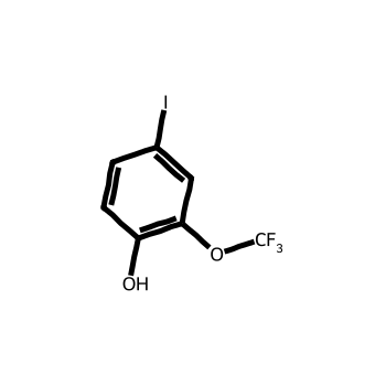 Oc1ccc(I)cc1OC(F)(F)F